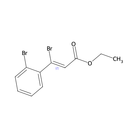 CCOC(=O)/C=C(\Br)c1ccccc1Br